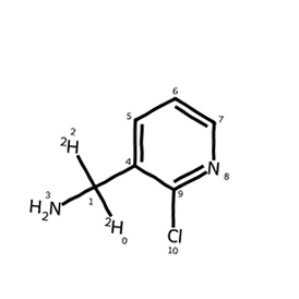 [2H]C([2H])(N)c1cccnc1Cl